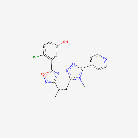 CC(Cc1nnc(-c2ccncc2)n1C)c1noc(-c2cc(O)ccc2F)n1